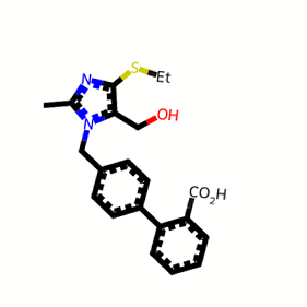 CCSc1nc(C)n(Cc2ccc(-c3ccccc3C(=O)O)cc2)c1CO